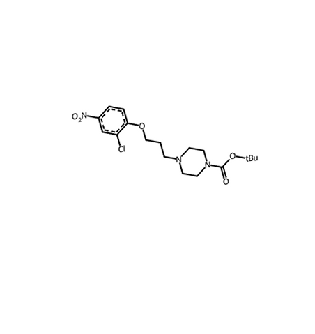 CC(C)(C)OC(=O)N1CCN(CCCOc2ccc([N+](=O)[O-])cc2Cl)CC1